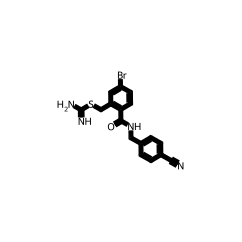 N#Cc1ccc(CNC(=O)c2ccc(Br)cc2CSC(=N)N)cc1